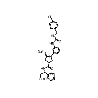 O=C([O-])CC(NC(=O)C1CC(=O)N(c2cccc(NC(=O)NCc3ccc(Cl)cc3)c2)C1)c1cccnc1.[Na+]